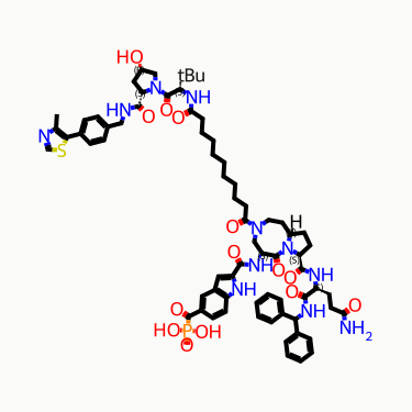 Cc1ncsc1-c1ccc(CNC(=O)[C@@H]2C[C@@H](O)CN2C(=O)[C@@H](NC(=O)CCCCCCCCCC(=O)N2CC[C@H]3CC[C@@H](C(=O)N[C@@H](CCC(N)=O)C(=O)NC(c4ccccc4)c4ccccc4)N3C(=O)[C@@H](NC(=O)c3cc4cc(C(=O)P(=O)(O)O)ccc4[nH]3)C2)C(C)(C)C)cc1